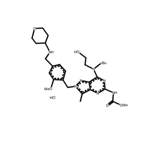 CCCCN(CCO)c1nc(NC(=O)OC)nc2c(C)n(Cc3ccc(CNC4CCOCC4)cc3OC)nc12.Cl